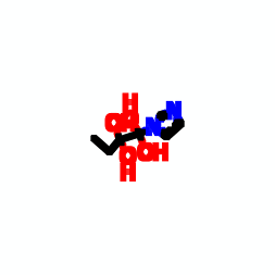 CCC(O)(O)C(O)(O)n1ccnc1